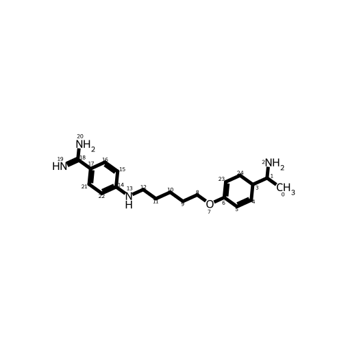 CC(N)C1C=CC(OCCCCCNc2ccc(C(=N)N)cc2)=CC1